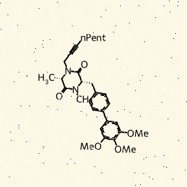 CCCCCC#CCN1C(=O)[C@H](Cc2ccc(-c3cc(OC)c(OC)c(OC)c3)cc2)N(C)C(=O)[C@@H]1C